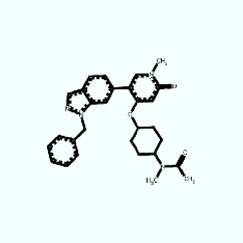 CC(=O)N(C)C1CCC(Oc2cc(=O)n(C)cc2-c2ccc3cnn(Cc4ccccc4)c3c2)CC1